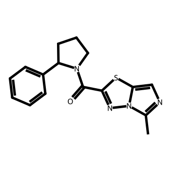 Cc1ncc2sc(C(=O)N3CCCC3c3ccccc3)nn12